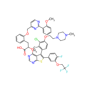 COc1ccccc1-c1nccc(COc2ccccc2CC(Oc2ncnc3sc(-c4ccc(F)c(OCC(F)(F)F)c4)c(-c4ccc(OCCN5CCN(C)CC5)c(Cl)c4C)c23)C(=O)O)n1